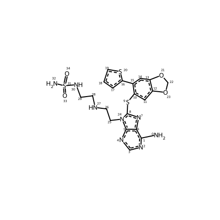 Nc1ncnc2c1nc(Sc1cc3c(cc1-c1cccs1)OCO3)n2CCNCCNS(N)(=O)=O